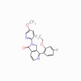 O=C1c2ccnc(-c3ccc(F)cc3OCC(F)(F)F)c2CN1c1ccc(OC(F)(F)F)cn1